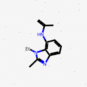 C=C(C)Nc1cccc2nc(C)n(CC)c12